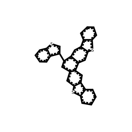 c1ccc2c(-c3cc4cc5sc6ccccc6c5cc4c4cc5sc6ccccc6c5cc34)csc2c1